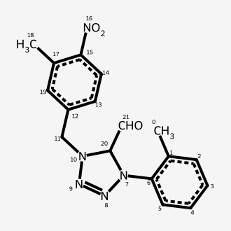 Cc1ccccc1N1N=NN(Cc2ccc([N+](=O)[O-])c(C)c2)C1C=O